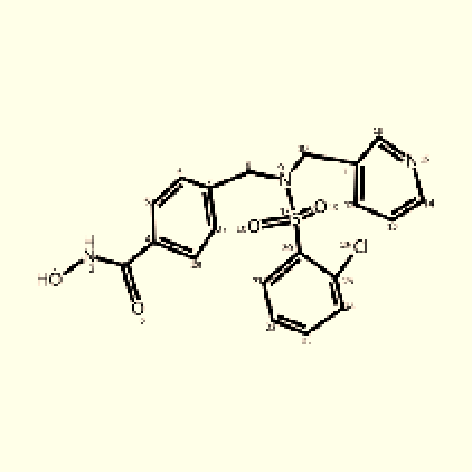 O=C(NO)c1ccc(CN(Cc2cccnc2)S(=O)(=O)c2ccccc2Cl)cc1